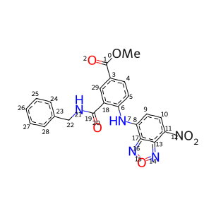 COC(=O)c1ccc(Nc2ccc([N+](=O)[O-])c3nonc23)c(C(=O)NCc2ccccc2)c1